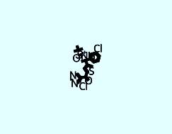 CC(N[S+]([O-])C(C)(C)C)(c1cccc(Cl)c1)c1csc(C(=O)c2cncnc2Cl)c1